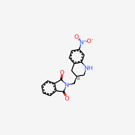 O=C1c2ccccc2C(=O)N1C[C@@H]1CNc2cc([N+](=O)[O-])ccc2C1